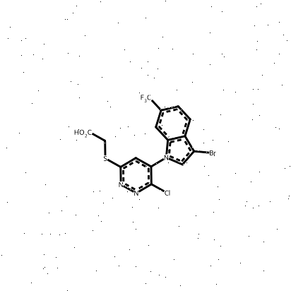 O=C(O)CSc1cc(-n2cc(Br)c3ccc(C(F)(F)F)cc32)c(Cl)nn1